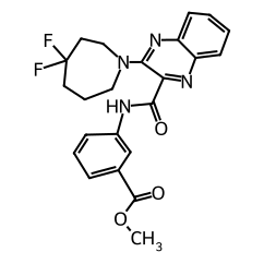 COC(=O)c1cccc(NC(=O)c2nc3ccccc3nc2N2CCCC(F)(F)CC2)c1